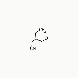 N#CCC(CC(F)(F)F)[S+]=O